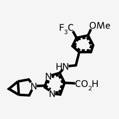 COc1ccc(CNc2nc(N3CC4CC4C3)ncc2C(=O)O)cc1C(F)(F)F